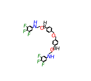 Fc1cc(NCCOBc2ccc(COCc3ccc(BOCCNc4cc(F)c(F)c(F)c4)cc3)cc2)cc(F)c1F